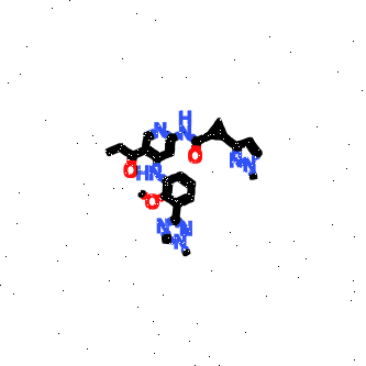 CCC(=O)c1cnc(NC(=O)C2CC2c2ccn(C)n2)cc1Nc1cccc(-c2ncn(C)n2)c1OC